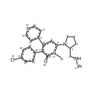 CC(C)NCC1CCCN1c1cc(-c2ccncc2)c(-c2ccc(Cl)cc2)c(=O)n1C